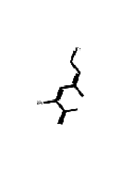 C=C(I)/C(=C\C(C)=C/CC(C)C)C(C)C